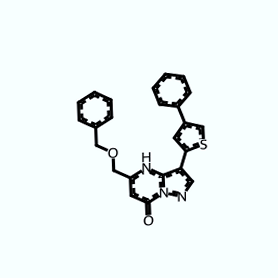 O=c1cc(COCc2ccccc2)[nH]c2c(-c3cc(-c4ccccc4)cs3)cnn12